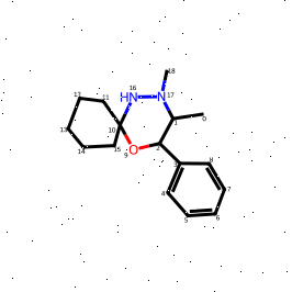 CC1C(c2ccccc2)OC2(CCCCC2)NN1C